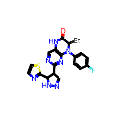 CCC1C(=O)Nc2cnc(C3C=NNC3c3nccs3)nc2N1c1ccc(F)cc1